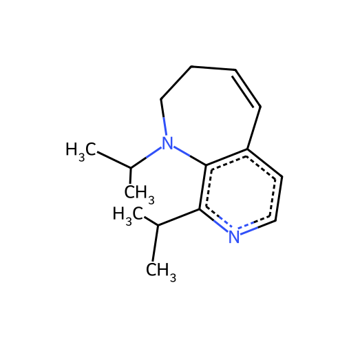 CC(C)c1nccc2c1N(C(C)C)CCC=C2